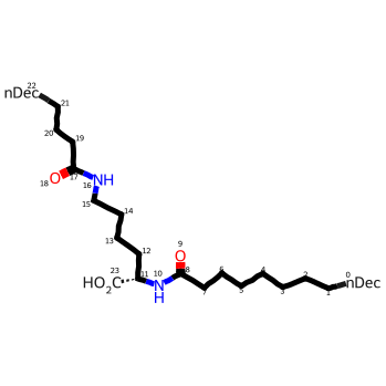 CCCCCCCCCCCCCCCCCC(=O)N[C@@H](CCCCNC(=O)CCCCCCCCCCCCC)C(=O)O